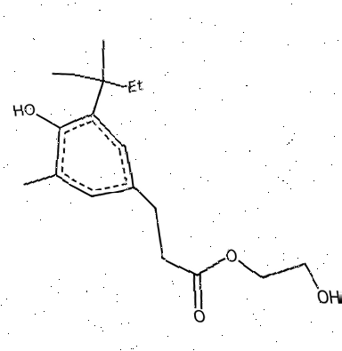 CCC(C)(C)c1cc(CCC(=O)OCCO)cc(C)c1O